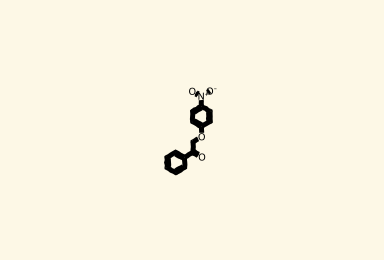 O=C(COc1ccc([N+](=O)[O-])cc1)c1ccccc1